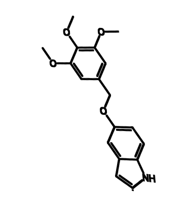 COc1cc(COc2ccc3[nH][c]cc3c2)cc(OC)c1OC